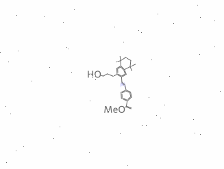 C=C(OC)c1ccc(/C=C/c2cc3c(cc2CCCO)C(C)(C)CCC3(C)C)cc1